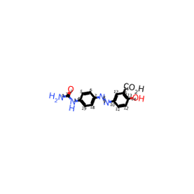 NC(=O)Nc1ccc(N=Nc2ccc(O)c(C(=O)O)c2)cc1